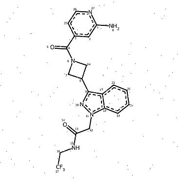 Nc1cc(C(=O)N2CC(c3nn(CC(=O)NCC(F)(F)F)c4ccccc34)C2)ccn1